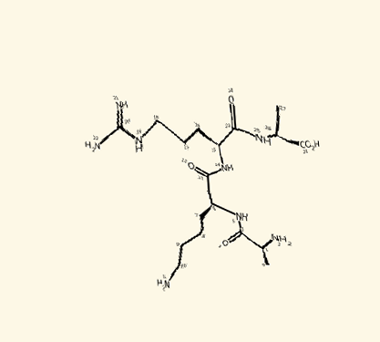 C[C@H](N)C(=O)N[C@@H](CCCCN)C(=O)N[C@@H](CCCNC(=N)N)C(=O)N[C@@H](C)C(=O)O